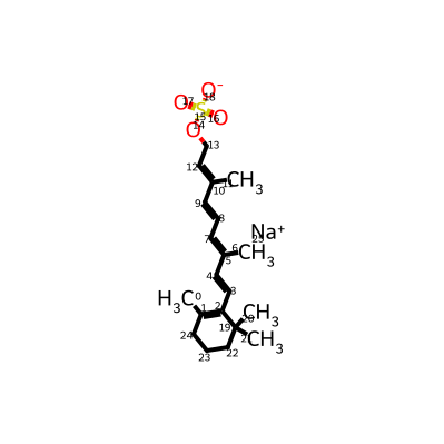 CC1=C(/C=C/C(C)=C/C=C/C(C)=C/COS(=O)(=O)[O-])C(C)(C)CCC1.[Na+]